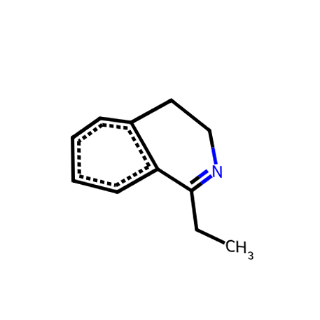 CCC1=NCCc2ccccc21